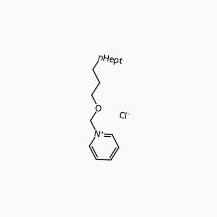 CCCCCCCCCCOC[n+]1ccccc1.[Cl-]